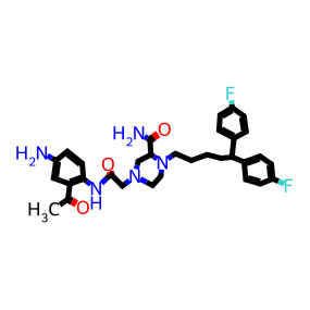 CC(=O)c1cc(N)ccc1NC(=O)CN1CCN(CCCCC(c2ccc(F)cc2)c2ccc(F)cc2)C(C(N)=O)C1